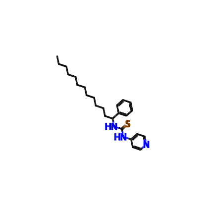 CCCCCCCCCCCCC(NC(=S)Nc1ccncc1)c1ccccc1